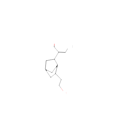 CCC(CO)C1CC2CC(CCO)C1C2